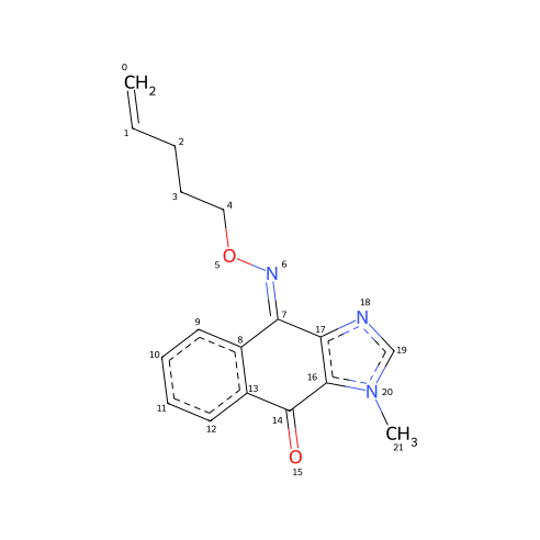 C=CCCCO/N=C1\c2ccccc2C(=O)c2c1ncn2C